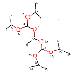 CC(C)OC(OC(C)C)OC(C)OC(OC(C)C)OC(C)C